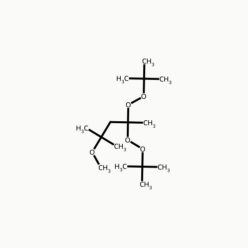 COC(C)(C)CC(C)(OOC(C)(C)C)OOC(C)(C)C